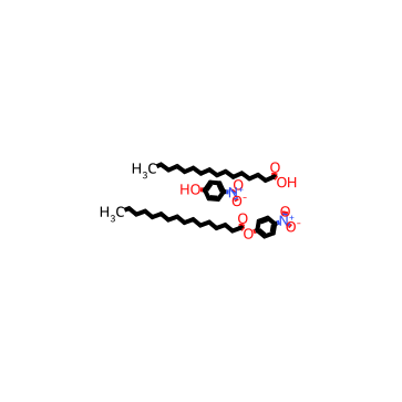 CCCCCCCCCCCCCCCC(=O)O.CCCCCCCCCCCCCCCC(=O)Oc1ccc([N+](=O)[O-])cc1.O=[N+]([O-])c1ccc(O)cc1